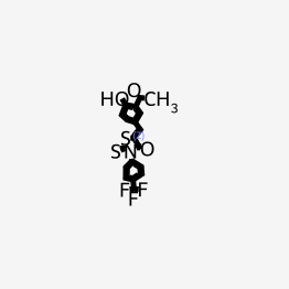 CC(=O)c1cc(/C=C2\SC(=S)N(c3ccc(C(F)(F)F)cc3)C2=O)ccc1O